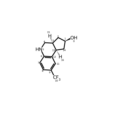 O[C@@H]1C[C@@H]2CNc3ccc(C(F)(F)F)cc3[C@@H]2C1